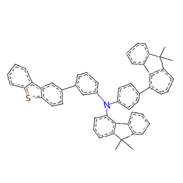 CC1(C)c2ccccc2-c2c(-c3ccc(N(c4cccc(-c5ccc6sc7ccccc7c6c5)c4)c4cccc5c4-c4ccccc4C5(C)C)cc3)cccc21